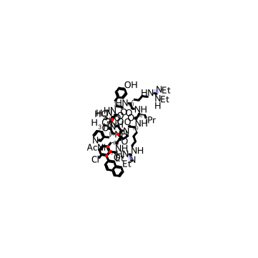 CC/N=C(\NCC)NCCCC[C@H](NC(=O)[C@H](CC(C)C)NC(=O)[C@@H](CCCCN/C(=N/CC)NCC)NC(=O)[C@@H](Cc1ccc(O)cc1)NC(=O)[C@H](CO)NC(=O)[C@@H](Cc1cccnc1)NC(=O)[C@@H](Cc1ccc(Cl)cc1)NC(=O)[C@@H](Cc1ccc2ccccc2c1)NC(C)=O)C(=O)N1CCCC1C(=O)N[C@H](C)C(N)=O